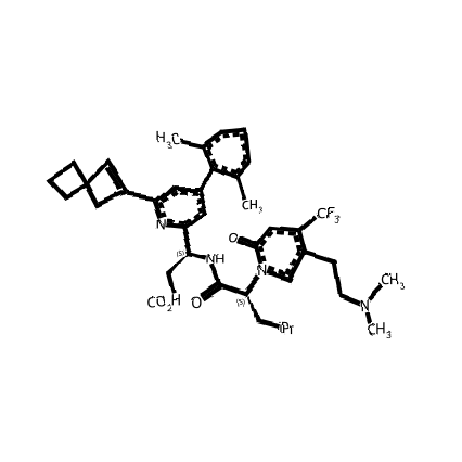 Cc1cccc(C)c1-c1cc(C2=CC3(CCC3)C2)nc([C@H](CC(=O)O)NC(=O)[C@H](CC(C)C)n2cc(CCN(C)C)c(C(F)(F)F)cc2=O)c1